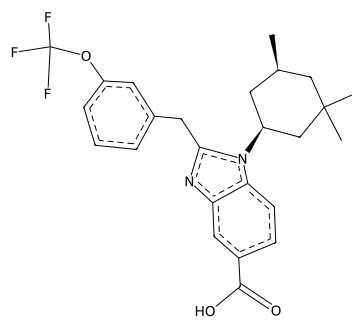 C[C@@H]1C[C@H](n2c(Cc3cccc(OC(F)(F)F)c3)nc3cc(C(=O)O)ccc32)CC(C)(C)C1